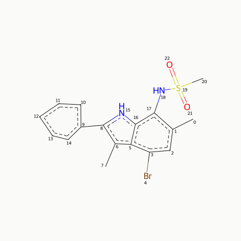 Cc1cc(Br)c2c(C)c(-c3ccccc3)[nH]c2c1NS(C)(=O)=O